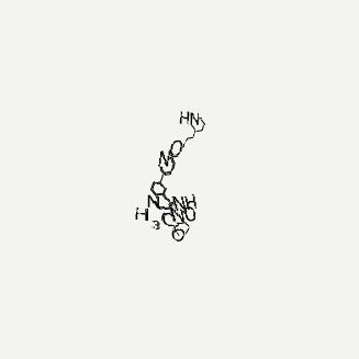 CC1(n2c(=O)[nH]c3c4cc(-c5ccc(OCCCC6CCCNC6)nc5)ccc4ncc32)CCCOC1